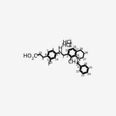 Cc1c(CNc2ccc(CCC(=O)O)c(F)c2)ccc2c1N(Cc1ccccc1)CCC2.Cl.Cl